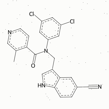 Cc1cnccc1C(=O)N(Cc1c[nH]c2ccc(C#N)cc12)c1cc(Cl)cc(Cl)c1